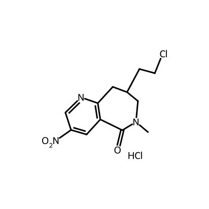 CN1CC(CCCl)Cc2ncc([N+](=O)[O-])cc2C1=O.Cl